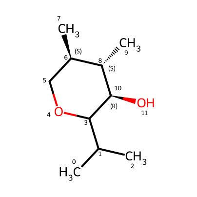 CC(C)C1OC[C@@H](C)[C@H](C)[C@H]1O